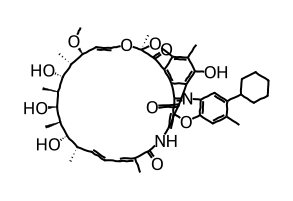 CO[C@H]1/C=C/O[C@@]2(C)Oc3c(C)c(O)c4c(=O)c(c5oc6cc(C)c(C7CCCCC7)cc6nc-5c4c3C2=O)NC(=O)/C(C)=C\C=C\[C@H](C)[C@H](O)[C@@H](C)[C@@H](O)[C@@H](C)[C@H](O)[C@@H]1C